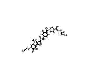 Cn1c(-c2ccc(OCC#N)c(F)c2F)cnc1C(=O)Nc1ccc(C(=O)N2CCN(C(=O)NCC3CNC3)CC2)c(Cl)c1